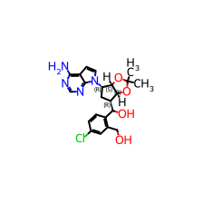 CC1(C)O[C@@H]2[C@H](O1)[C@@H](C(O)c1ccc(Cl)cc1CO)C[C@H]2n1ccc2c(N)ncnc21